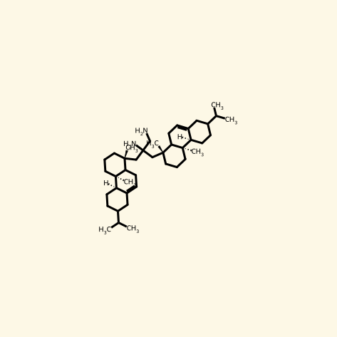 CC(C)C1CC[C@@H]2C(=CCC3[C@@](C)(CC(N)(CN)C[C@@]4(C)CCC[C@@]5(C)C4CC=C4CC(C(C)C)CC[C@H]45)CCC[C@@]32C)C1